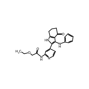 CCOCC(=O)Nc1cc(-c2[nH]c3c(c2Nc2ccccc2)C(=O)CCC3)ccn1